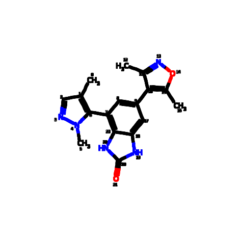 Cc1cnn(C)c1-c1cc(-c2c(C)noc2C)cc2[nH]c(=O)[nH]c12